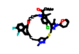 COC(=O)c1c(C)c2c3c(Cl)ccc2n1CCCOc1cc(cc2c(F)c(F)ccc12)CCc1cc(nn1C)CSCc1nn(C2CCCCO2)c(C)c1-3